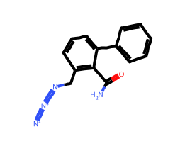 [N-]=[N+]=NCc1cccc(-c2ccccc2)c1C(N)=O